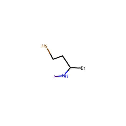 CCC(CCS)NI